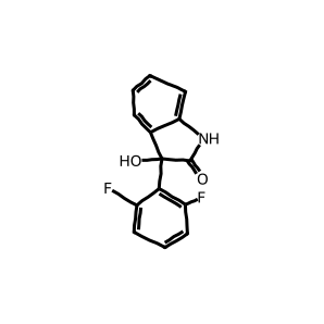 O=C1Nc2ccccc2C1(O)c1c(F)cccc1F